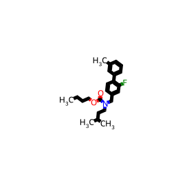 CCCCOC(=O)N(CCC(C)C)Cc1ccc(-c2cccc(C)c2)c(F)c1